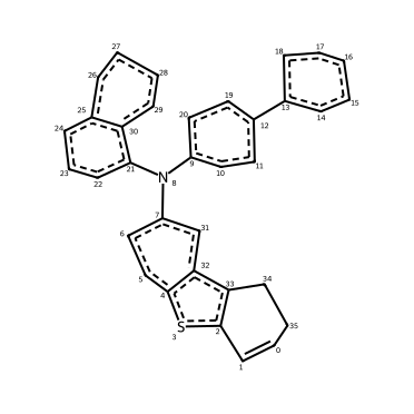 C1=Cc2sc3ccc(N(c4ccc(-c5ccccc5)cc4)c4cccc5ccccc45)cc3c2CC1